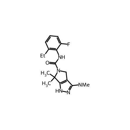 CCc1cccc(F)c1NC(=O)N1Cc2c(NC)n[nH]c2C1(C)C